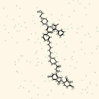 Cc1nn2c(N3CCN(CCO)CC3)cc(-c3cccc(CCCCCCN4CCN(C(=O)CNc5cc(F)cc6c5CN(C5CCC(=O)NC5=O)C6=O)CC4)c3)nc2c1-c1ccccc1